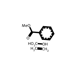 C=C.COC(=O)c1ccccc1.O=C(O)O